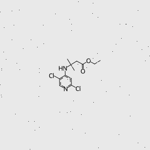 CCOC(=O)CC(C)(C)Nc1cc(Cl)ncc1Cl